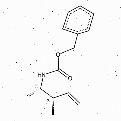 [CH2][C@H](NC(=O)OCc1ccccc1)[C@H](C)C=C